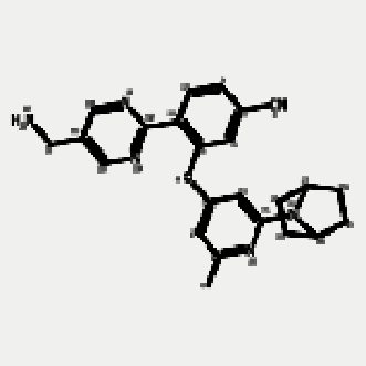 Cc1cc(Oc2cc(C#N)ccc2-c2ncc(CN)cn2)cc(N2C3CCC2CC3)n1